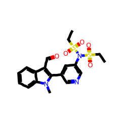 CCS(=O)(=O)N(c1cncc(-c2c(C=O)c3ccccc3n2C)c1)S(=O)(=O)CC